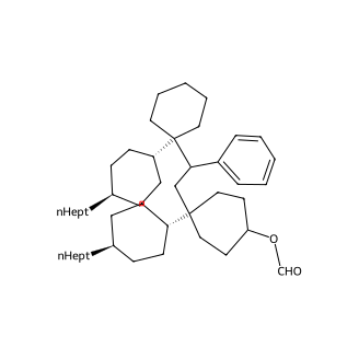 CCCCCCC[C@H]1CC[C@H](C2(CC(c3ccccc3)C3([C@H]4CC[C@H](CCCCCCC)CC4)CCCCC3)CCC(OC=O)CC2)CC1